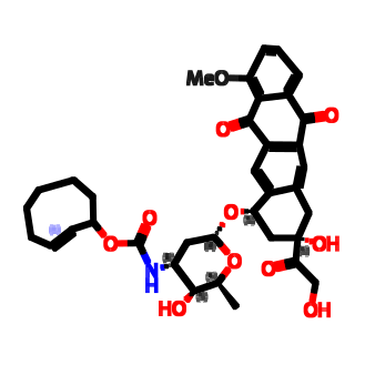 COc1cccc2c1C(=O)c1cc3c(cc1C2=O)C[C@@](O)(C(=O)CO)C[C@@H]3O[C@H]1C[C@@H](NC(=O)OC2/C=C/CCCCC2)[C@H](O)[C@H](C)O1